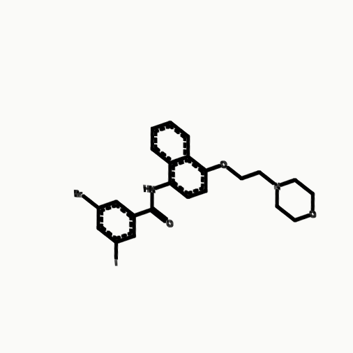 O=C(Nc1ccc(OCCN2CCOCC2)c2ccccc12)c1cc(Br)cc(I)c1